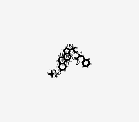 COC(=O)C(Cc1ccccc1)NCC(C)(O)C1CC[C@H]2[C@@H]3CC=C4CC(O[Si](C)(C)C(C)(C)C)CC[C@]4(C)[C@H]3CC[C@]12C